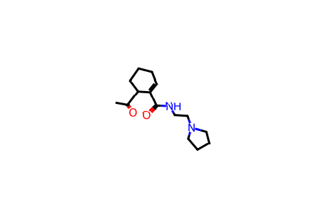 CC(=O)C1CCCC=C1C(=O)NCCN1CCCC1